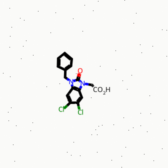 O=C(O)Cn1c(=O)n(Cc2ccccc2)c2cc(Cl)c(Cl)cc21